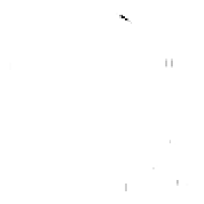 CC(C)(C)[Si](C)(C)OCCN1CC[C@H](Oc2ccc(I)cc2)C1